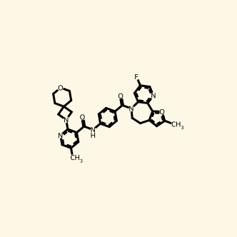 Cc1cnc(N2CC3(CCOCC3)C2)c(C(=O)Nc2ccc(C(=O)N3CCc4cc(C)oc4-c4ncc(F)cc43)cc2)c1